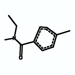 CCN(C)C(=O)c1ccc(C)cc1